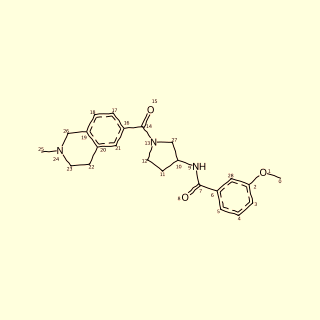 COc1cccc(C(=O)NC2CCN(C(=O)c3ccc4c(c3)CCN(C)C4)C2)c1